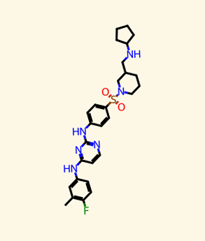 Cc1cc(Nc2ccnc(Nc3ccc(S(=O)(=O)N4CCCC(CNC5CCCC5)C4)cc3)n2)ccc1F